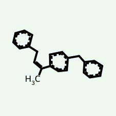 CC(=CCc1ccccc1)c1ccc(Cc2ccccc2)cc1